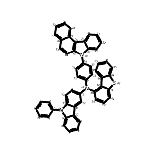 c1ccc(-n2c3ccccc3c3cc(N(c4ccc(-n5c6ccccc6c6c7ccccc7ccc65)cc4)c4cccc5sc6ccccc6c45)ccc32)cc1